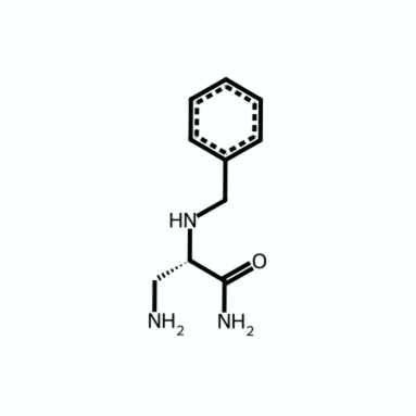 NC[C@H](NCc1ccccc1)C(N)=O